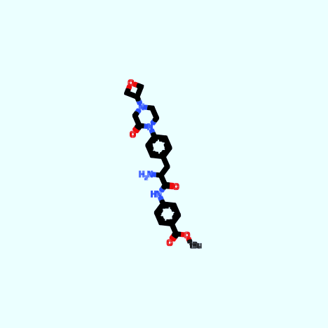 CC(C)(C)OC(=O)c1ccc(NC(=O)C(N)Cc2ccc(N3CCN(C4COC4)CC3=O)cc2)cc1